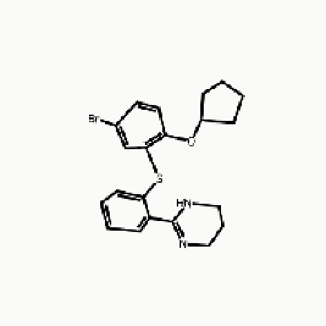 Brc1ccc(OC2CCCC2)c(Sc2ccccc2C2=NCCCN2)c1